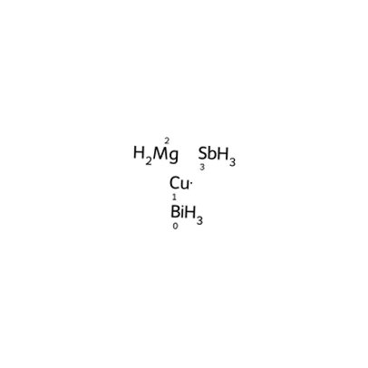 [BiH3].[Cu].[MgH2].[SbH3]